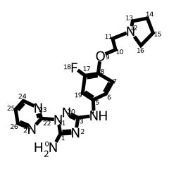 Nc1nc(Nc2ccc(OCCN3CCCC3)c(F)c2)nn1-c1ncccn1